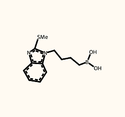 CSc1nc2ccccc2n1CCCCB(O)O